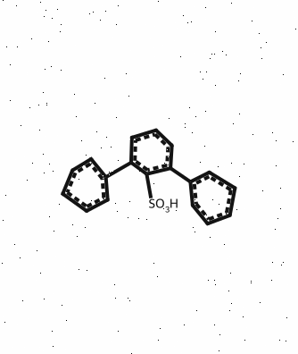 O=S(=O)(O)c1c(-c2ccccc2)cccc1-c1ccccc1